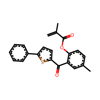 C=C(C)C(=O)Oc1ccc(C)cc1C(=O)c1ccc(-c2ccccc2)s1